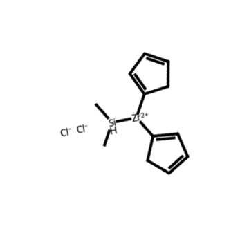 C[SiH](C)[Zr+2]([C]1=CC=CC1)[C]1=CC=CC1.[Cl-].[Cl-]